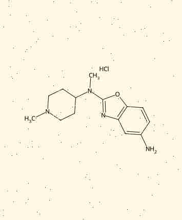 CN1CCC(N(C)c2nc3cc(N)ccc3o2)CC1.Cl